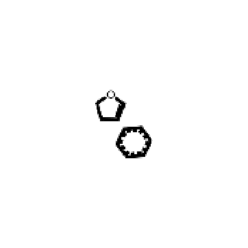 C1=COCC1.c1ccccc1